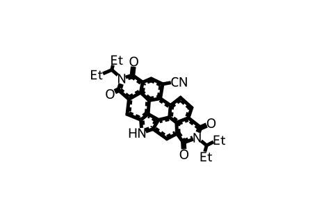 CCC(CC)n1c(=O)c2ccc3c4c(C#N)cc5c(=O)n(C(CC)CC)c(=O)c6cc7[nH]c8cc(c1=O)c2c3c8c7c4c56